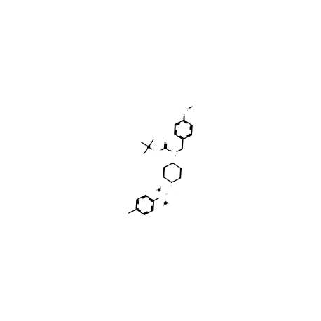 COc1ccc(CN(C(=O)OC(C)(C)C)[C@H]2CC[C@@H](OS(=O)(=O)c3ccc(C)cc3)CC2)cc1